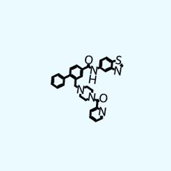 O=C(Nc1ccc2scnc2c1)c1ccc(-c2ccccc2)c(CN2CCN(C(=O)c3ccccn3)CC2)c1